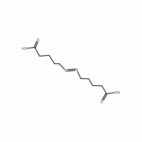 O=C(O)CCCCN=NCCCCC(=O)O